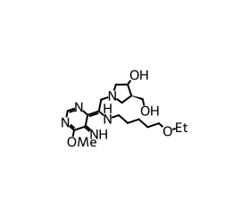 CCOCCCCCN/C(CN1CC(O)[C@@H](CO)C1)=C1/N=CN=C(OC)C1=N